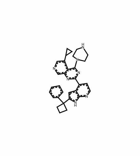 c1ccc(C2(c3cc4c(-c5nc(N6CCNCC6)c6c(C7CC7)cncc6n5)ccnc4[nH]3)CCC2)cc1